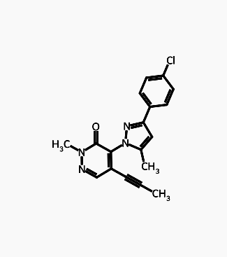 CC#Cc1cnn(C)c(=O)c1-n1nc(-c2ccc(Cl)cc2)cc1C